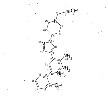 C#CCN1CCC(n2cc(C(/C=C(\N)c3ccccc3O)=C(N)N)cn2)CC1